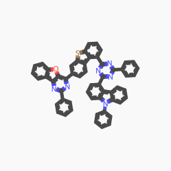 c1ccc(-c2nc(-c3cccc4sc5cc(-c6nc(-c7ccccc7)nc7c6oc6ccccc67)ccc5c34)nc(-c3cccc4c3c3ccccc3n4-c3ccccc3)n2)cc1